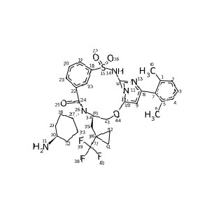 Cc1cccc(C)c1-c1cc2nc(n1)NS(=O)(=O)c1cccc(c1)C(=O)N([C@H]1CC[C@H](N)CC1)[C@H](CC1(C(F)(F)F)CC1)CO2